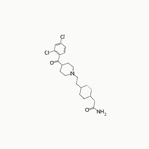 NC(=O)CC1CCC(CCN2CCC(C(=O)c3ccc(Cl)cc3Cl)CC2)CC1